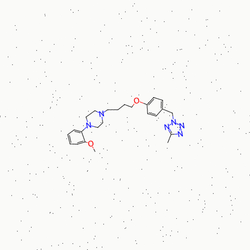 COc1ccccc1N1CCN(CCCCOc2ccc(Cn3nnc(C)n3)cc2)CC1